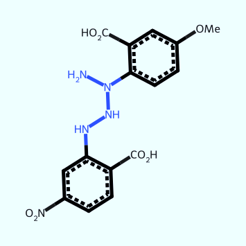 COc1ccc(N(N)NNc2cc([N+](=O)[O-])ccc2C(=O)O)c(C(=O)O)c1